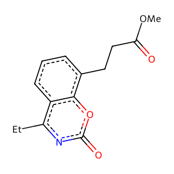 CCc1nc(=O)oc2c(CCC(=O)OC)cccc12